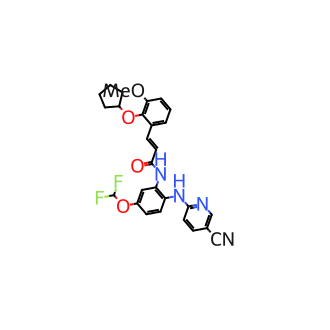 COc1cccc(/C=C/C(=O)Nc2cc(OC(F)F)ccc2Nc2ccc(C#N)cn2)c1OC1CCCC1